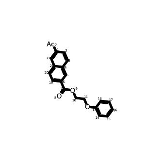 CC(=O)c1ccc2cc(C(=O)OCCOc3ccccc3)ccc2c1